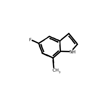 Cc1cc(F)cc2cc[nH]c12